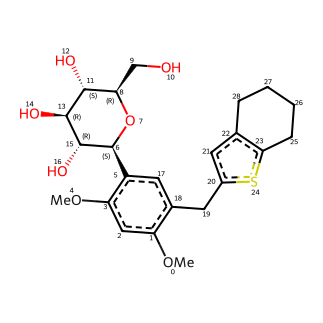 COc1cc(OC)c([C@@H]2O[C@H](CO)[C@@H](O)[C@H](O)[C@H]2O)cc1Cc1cc2c(s1)CCCC2